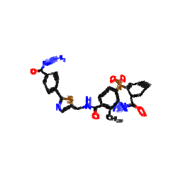 Cc1c(C(=O)NCc2cnc(-c3ccc(C(N)=O)cc3)s2)ccc2c1NC(=O)c1ccccc1S2(=O)=O